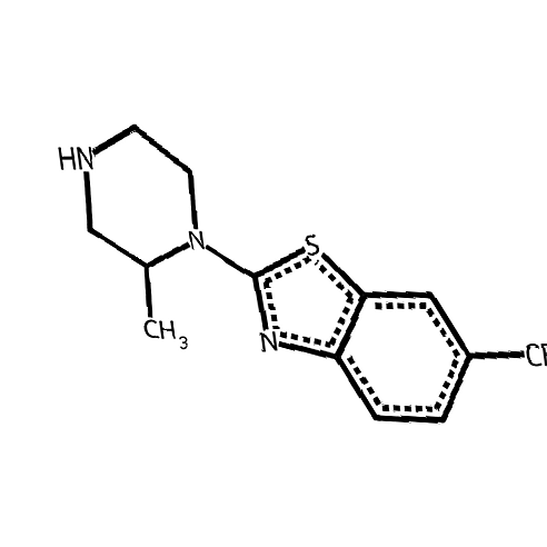 CC1CNCCN1c1nc2ccc(C(F)(F)F)cc2s1